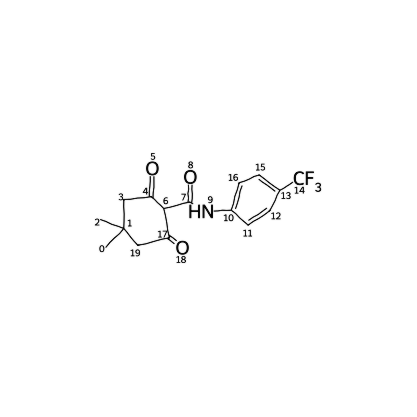 CC1(C)CC(=O)C(C(=O)Nc2ccc(C(F)(F)F)cc2)C(=O)C1